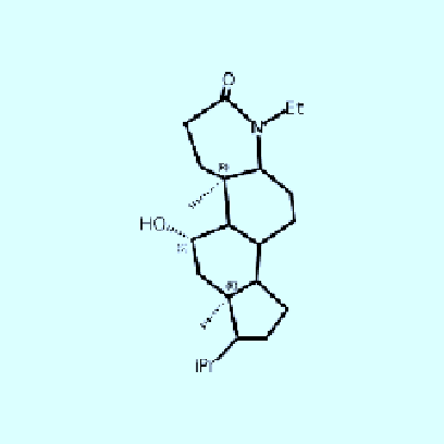 CCN1C(=O)CC[C@]2(C)C3C(CCC12)C1CCC(C(C)C)[C@@]1(C)C[C@@H]3O